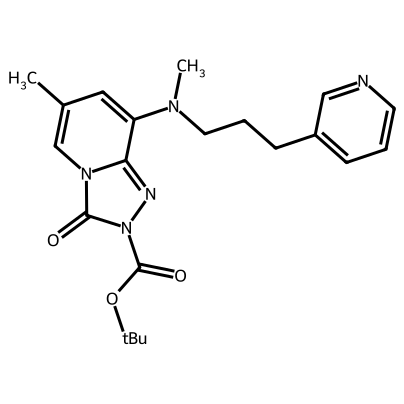 Cc1cc(N(C)CCCc2cccnc2)c2nn(C(=O)OC(C)(C)C)c(=O)n2c1